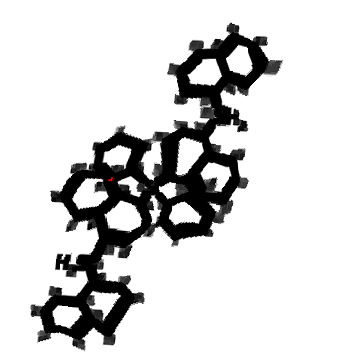 c1ccc([Si](c2ccccc2)(c2ccc([SiH2]c3cccc4ccccc34)c3ccccc23)c2ccc([SiH2]c3cccc4ccccc34)c3ccccc23)cc1